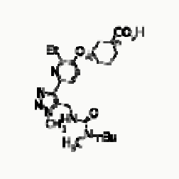 CCCCN(C)C(=O)NCc1c(-c2ccc(O[C@H]3CCC[C@H](C(=O)O)C3)c(CC)n2)nnn1C